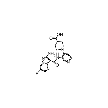 Nc1nn2cc(F)cnc2c1C(=O)Nc1cnccc1N1CCC(C(=O)O)CC1